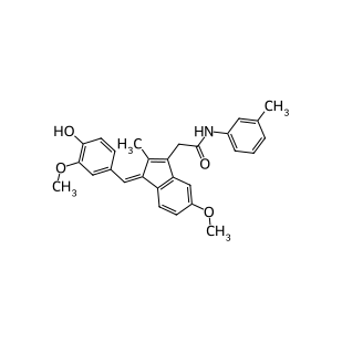 COc1ccc2c(c1)C(CC(=O)Nc1cccc(C)c1)=C(C)C2=Cc1ccc(O)c(OC)c1